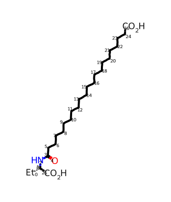 CC[C@H](NC(=O)CCCCCCCCCCCCCCCCCCCCC(=O)O)C(=O)O